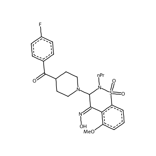 CCCN1C(N2CCC(C(=O)c3ccc(F)cc3)CC2)C(=NO)c2c(OC)cccc2S1(=O)=O